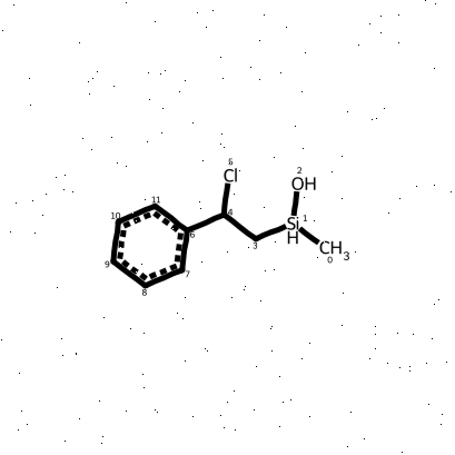 C[SiH](O)CC(Cl)c1ccccc1